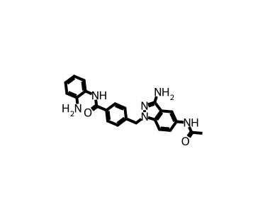 CC(=O)Nc1ccc2c(c1)c(N)nn2Cc1ccc(C(=O)Nc2ccccc2N)cc1